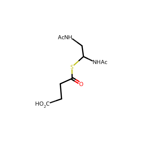 CC(=O)NCC(NC(C)=O)SC(=O)CCC(=O)O